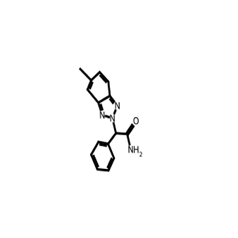 Cc1ccc2nn(C(C(N)=O)c3ccccc3)nc2c1